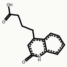 O=C(O)CCCc1cc(=O)[nH]c2ccccc12